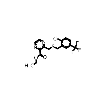 CCOC(=O)c1nccnc1CSCc1cc(C(F)(F)F)ccc1Cl